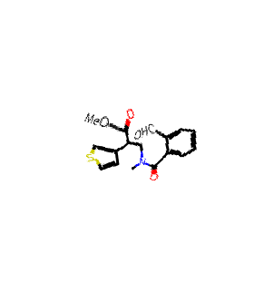 COC(=O)C(CN(C)C(=O)c1ccccc1C=O)c1ccsc1